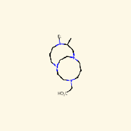 CCN1CCCN2CCN(CC(=O)O)CCCN(CC2)CC1C